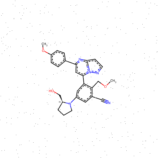 COCc1c(C#N)cc(N2CCC[C@H]2CO)cc1-c1cc(-c2ccc(OC)cc2)nc2ccnn12